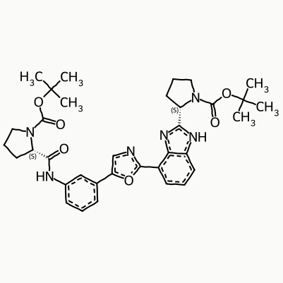 CC(C)(C)OC(=O)N1CCC[C@H]1C(=O)Nc1cccc(-c2cnc(-c3cccc4[nH]c([C@@H]5CCCN5C(=O)OC(C)(C)C)nc34)o2)c1